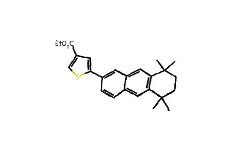 CCOC(=O)c1csc(-c2ccc3cc4c(cc3c2)C(C)(C)CCC4(C)C)c1